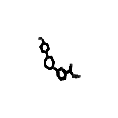 COC(=O)c1cccc(N2CCCN(C3CCN(C(C)C)CC3)CC2)n1